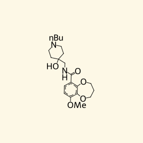 CCCCN1CCC(O)(CNC(=O)c2ccc(OC)c3c2OCCCO3)CC1